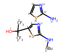 CCCCNc1ncc(C(O)(C(F)(F)F)C(F)(F)F)s1.Nc1nccs1